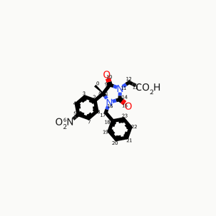 C[C@@]1(c2ccc([N+](=O)[O-])cc2)C(=O)N(CC(=O)O)C(=O)N1Cc1ccccc1